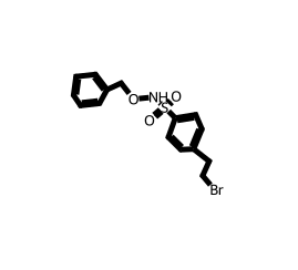 O=S(=O)(NOCc1ccccc1)c1ccc(CCBr)cc1